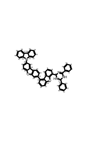 c1ccc(C2=NC(c3cccc4c3oc3cccc(-c5ccc6c(c5)oc5ccc(-n7c8ccccc8c8ccccc87)cc56)c34)NC(c3ccccc3)N2)cc1